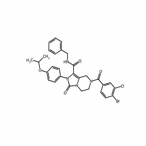 CC(C)Oc1ccc(-n2c(C(=O)NCc3ccccc3)c3n(c2=O)CCN(C(=O)c2ccc(Br)c(Cl)c2)C3)cc1